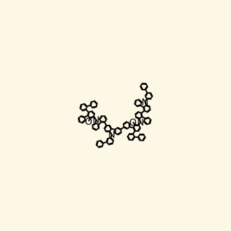 c1ccc(-c2cccc(-n3c4ccc(-c5ccc6oc7c(-n8c9ccccc9c9c(-c%10cccc%11c%10c%10ccccc%10n%11-c%10cccc(-c%11ccccc%11)c%10)cccc98)ccc(-c8ccccc8-c8ccccc8)c7c6c5)cc4c4cc(-c5cccc6c5c5ccccc5n6-c5ccc(-c6ccccc6-c6ccccc6)c6c5oc5ccccc56)ccc43)c2)cc1